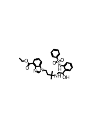 CCOC(=O)c1cccc2c1ncn2CCC(C)(C)NCC(O)c1ccccc1NS(=O)(=O)c1ccccc1